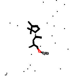 C=C(CC(C)COC=O)[C@H]1CC=C(C)C1(C)C